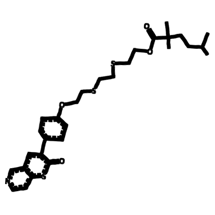 CC(C)CCC(C)(C)C(=O)OCCSCCSCCOc1ccc(-c2cc3cnccc3sc2=O)cc1